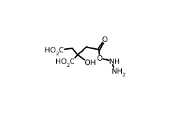 NNOC(=O)CC(O)(CC(=O)O)C(=O)O